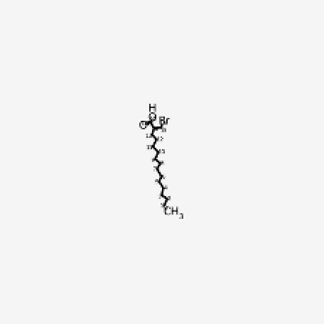 CCCCCCCCCCCCCCC(CBr)C(=O)O